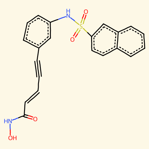 O=C(C=CC#Cc1cccc(NS(=O)(=O)c2ccc3ccccc3c2)c1)NO